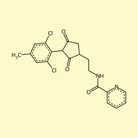 Cc1cc(Cl)c(C2C(=O)CC(CCNC(=O)c3ccccn3)C2=O)c(Cl)c1